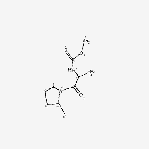 BOC(=O)NC(C(=O)N1CCCC1C)C(C)(C)C